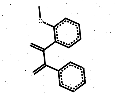 C=C(C(=C)c1ccccc1OC)c1ccccc1